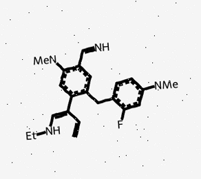 C=C/C(=C\NCC)c1cc(NC)c(C=N)cc1Cc1ccc(NC)cc1F